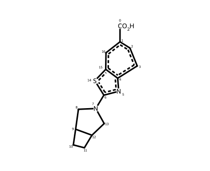 O=C(O)c1ccc2nc(N3CC4CCC4C3)sc2c1